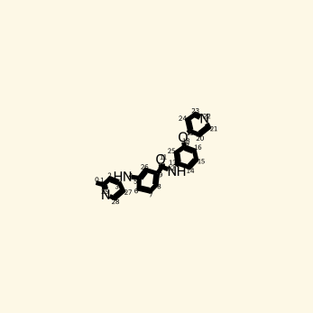 Cc1cc(Nc2cccc(C(=O)Nc3cccc(Oc4ccncc4)c3)c2)ccn1